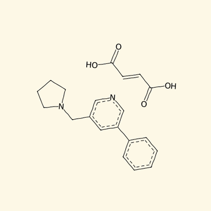 O=C(O)C=CC(=O)O.c1ccc(-c2cncc(CN3CCCC3)c2)cc1